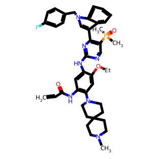 C=CC(=O)Nc1cc(Nc2ncc(P(C)(C)=O)c(-c3cn(Cc4ccc(F)cc4)c4ccccc34)n2)c(OCC)cc1N1CCC2(CCN(C)CC2)CC1